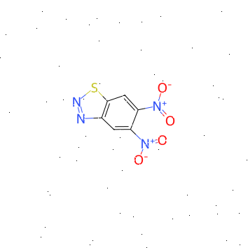 O=[N+]([O-])c1cc2nnsc2cc1[N+](=O)[O-]